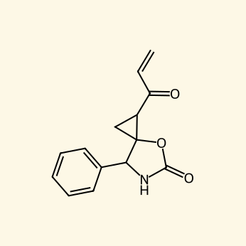 C=CC(=O)C1CC12OC(=O)NC2c1ccccc1